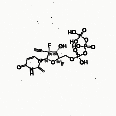 C#C[C@]1(F)[C@H](N2C=CC(=O)NC2=C)O[C@](F)(COP(=O)(O)OP(=O)(O)OP(=O)(O)O)[C@H]1O